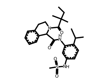 CCC(C)(C)C(=O)N1CCc2ccccc2C1C(=O)Nc1cc(NS(C)(=O)=O)ccc1C(C)C